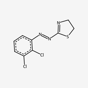 Clc1cccc(N=NC2=NCCS2)c1Cl